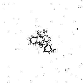 O=C(c1cccc(F)c1)c1c(CBr)[n+]([O-])c2ccccc2[n+]1[O-]